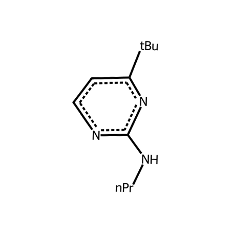 CCCNc1nccc(C(C)(C)C)n1